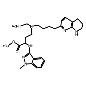 CC(=O)NCN(CCCCc1ccc2c(n1)NCCC2)CCC(Nc1nn(C)c2ccccc12)C(=O)OC(C)(C)C